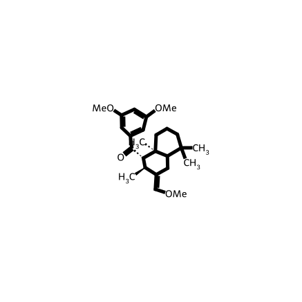 COC=C1CC2C(C)(C)CCC[C@]2(C)[C@@H](C(=O)c2cc(OC)cc(OC)c2)[C@@H]1C